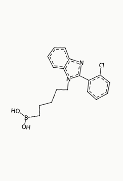 OB(O)CCCCCn1c(-c2ccccc2Cl)nc2ccccc21